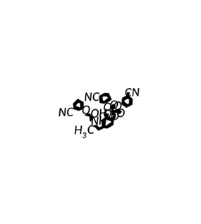 CC(Cc1ccc2c(c1)OC(C(=O)Oc1cccc(C#N)c1)(C(=O)Oc1cccc(C#N)c1)O2)NCC(O)COc1cccc(C#N)c1